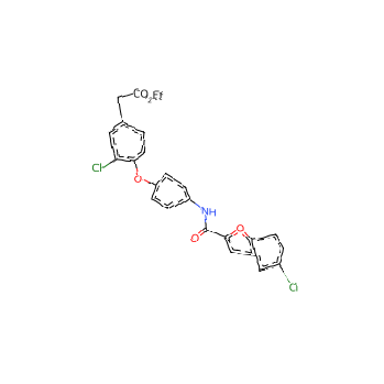 CCOC(=O)Cc1ccc(Oc2ccc(NC(=O)c3cc4cc(Cl)ccc4o3)cc2)c(Cl)c1